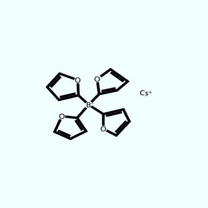 [Cs+].c1coc([B-](c2ccco2)(c2ccco2)c2ccco2)c1